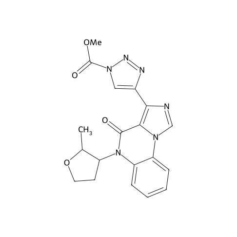 COC(=O)n1cc(-c2ncn3c2c(=O)n(C2CCOC2C)c2ccccc23)nn1